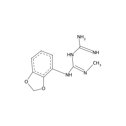 C/N=C(\NC(=N)N)Nc1cccc2c1OCO2